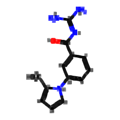 NC(N)=NC(=O)c1cccc(-n2cccc2C(=O)O)c1